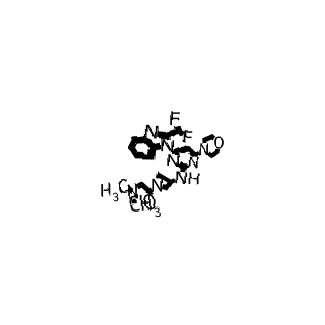 CN(C)CC(=O)N1CC(Nc2nc(N3CCOCC3)cc(-n3c(C(F)F)nc4ccccc43)n2)C1